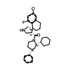 O=C([C@@H]1CNC[C@]12CCCc1cc(Cl)cc(F)c12)N1CC[C@@H](c2ccccc2)C[C@H]1C1CCCCC1